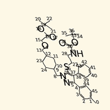 Cc1ccc(-c2nn(CC3CCC(COCC(=O)OC(C)(C)C)CC3)c(SCCNC(=O)OC(C)(C)C)c2-c2ccccc2)cc1